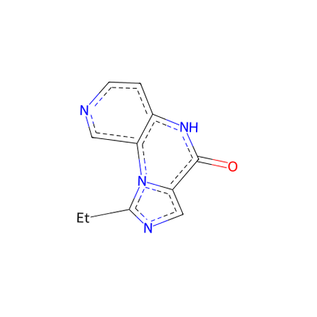 CCc1ncc2c(=O)[nH]c3ccncc3n12